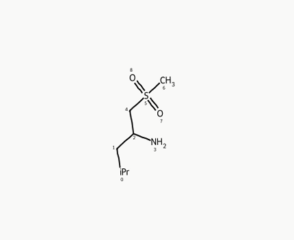 CC(C)CC(N)CS(C)(=O)=O